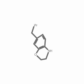 CC(C)Cc1ccc2c(c1)OCCN2